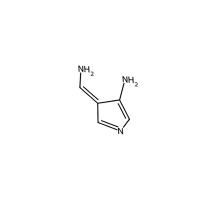 N/C=C1/C=NC=C1N